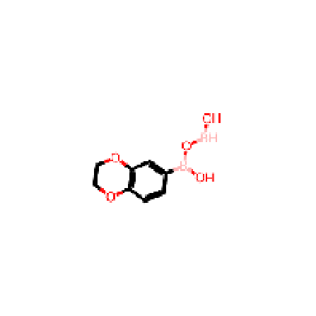 OBOB(O)c1ccc2c(c1)OCCO2